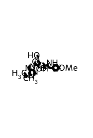 COc1ccc(C[C@H](N)C(=O)C[C@@H]2C(O)[C@H](n3cnc4c(N(C)C)ncnc43)O[C@@H]2CO)cc1